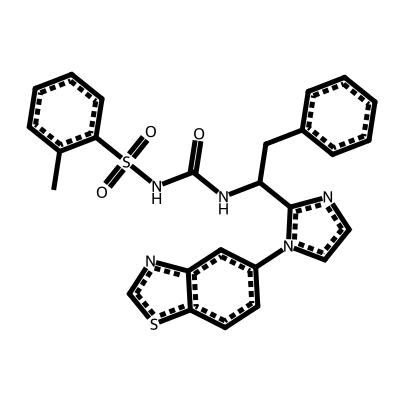 Cc1ccccc1S(=O)(=O)NC(=O)NC(Cc1ccccc1)c1nccn1-c1ccc2scnc2c1